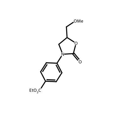 CCOC(=O)c1ccc(N2CC(COC)OC2=O)cc1